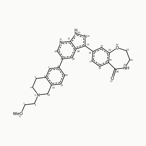 COCCN1CCc2cc(-c3cnc4[nH]nc(-c5ccc6c(c5)OCCNC6=O)c4c3)ccc2C1